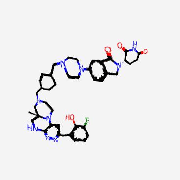 C[C@]12CNc3nnc(-c4cccc(F)c4O)cc3N1CCN(CC1CCC(CN3CCN(c4ccc5c(c4)C(=O)N([C@H]4CCC(=O)NC4=O)C5)CC3)CC1)C2